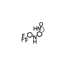 O=C1CCc2ccc(Nc3cccc(C(F)(F)F)c3)cc2N1